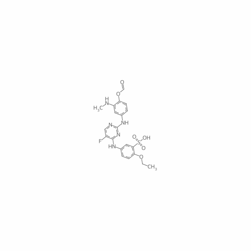 CCOc1ccc(Nc2nc(Nc3ccc(OC=O)c(NC)c3)ncc2F)cc1S(=O)(=O)O